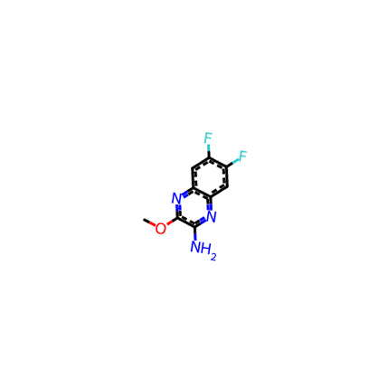 COc1nc2cc(F)c(F)cc2nc1N